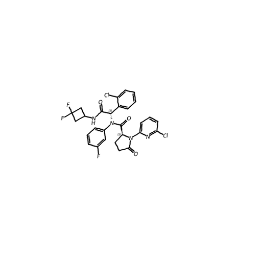 O=C(NC1CC(F)(F)C1)[C@H](c1ccccc1Cl)N(C(=O)[C@@H]1CCC(=O)N1c1cccc(Cl)n1)c1cccc(F)c1